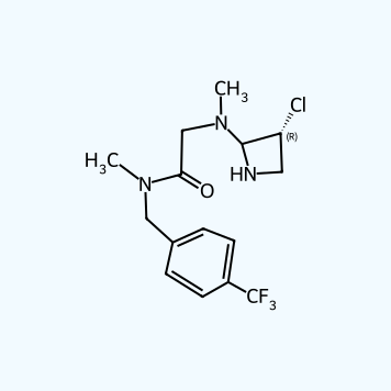 CN(Cc1ccc(C(F)(F)F)cc1)C(=O)CN(C)C1NC[C@H]1Cl